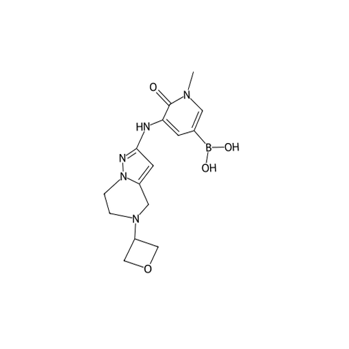 Cn1cc(B(O)O)cc(Nc2cc3n(n2)CCN(C2COC2)C3)c1=O